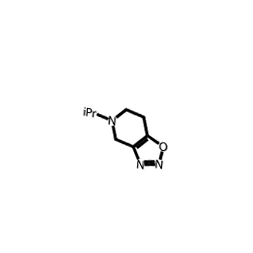 CC(C)N1CCc2onnc2C1